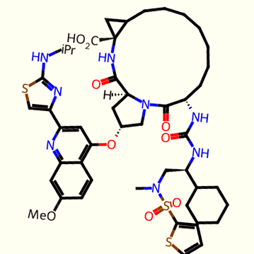 COc1ccc2c(O[C@@H]3C[C@H]4C(=O)N[C@]5(C(=O)O)CC5CCCCCCC[C@H](NC(=O)N[C@H](CN(C)S(=O)(=O)c5cccs5)C5CCCCC5)C(=O)N4C3)cc(-c3csc(NC(C)C)n3)nc2c1